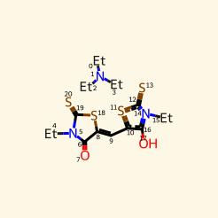 CCN(CC)CC.CCN1C(=O)/C(=C/c2sc(=S)n(CC)c2O)SC1=S